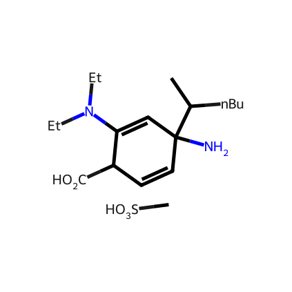 CCCCC(C)C1(N)C=CC(C(=O)O)C(N(CC)CC)=C1.CS(=O)(=O)O